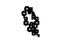 COC(=O)C(Cc1ccc(OCCNCc2nc3ccccc3o2)cc1)Nc1ccccc1C(=O)c1cccc(OCc2ccccc2)c1